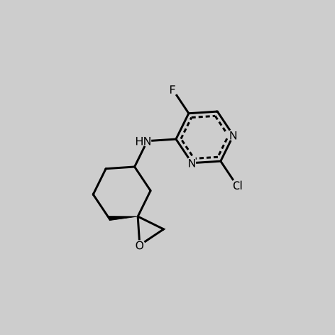 Fc1cnc(Cl)nc1NC1CCC[C@]2(CO2)C1